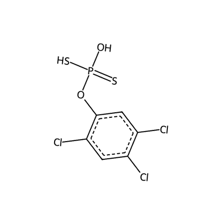 OP(=S)(S)Oc1cc(Cl)c(Cl)cc1Cl